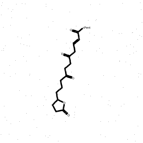 CCCCCC(=O)C=CCC(=O)CCC(=O)CCCC1CCC(=O)O1